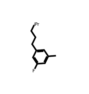 Cc1cc(F)cc(CCCC(C)C)c1